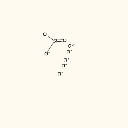 O=[Si]([O-])[O-].[O-2].[Tl+].[Tl+].[Tl+].[Tl+]